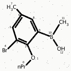 CCCOc1c(Br)cc(C)cc1B(C)O